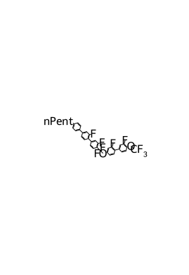 CCCCCc1ccc(-c2ccc(-c3ccc(C(F)(F)Oc4ccc(-c5ccc(OC(F)(F)F)c(F)c5)c(F)c4)c(F)c3)c(F)c2)cc1